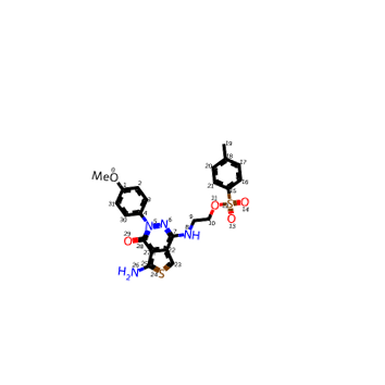 COc1ccc(-n2nc(NCCOS(=O)(=O)c3ccc(C)cc3)c3csc(N)c3c2=O)cc1